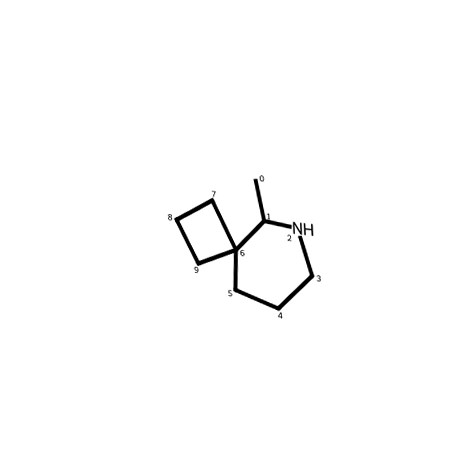 CC1NCCCC12CCC2